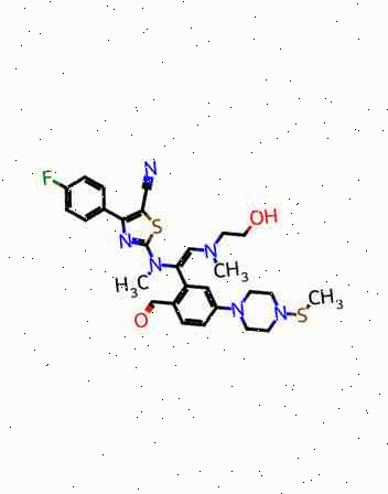 CSN1CCN(c2ccc(C=O)c(/C(=C\N(C)CCO)N(C)c3nc(-c4ccc(F)cc4)c(C#N)s3)c2)CC1